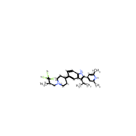 Cc1cc(-c2[nH]c3ccc(C4CCN(CC(C)C(F)(F)F)CC4)cc3c2C(C)C)cc(C)n1